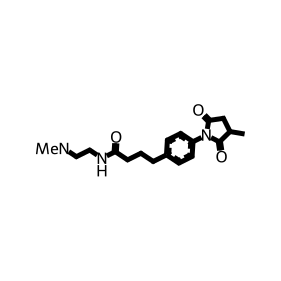 CNCCNC(=O)CCCc1ccc(N2C(=O)CC(C)C2=O)cc1